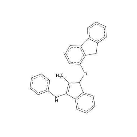 CC1=C(Pc2ccccc2)c2ccccc2[CH]1[Ti][c]1cccc2c1Cc1ccccc1-2